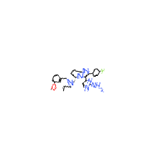 CCCN(Cc1cccc(OC)c1)C[C@@H]1CCc2nc(-c3ccc(F)cc3)c(-c3ccnc(N)n3)n21